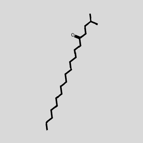 CCCCCCCCCCCCCCCC(=O)CCC(C)C